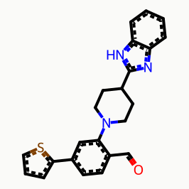 O=Cc1ccc(-c2cccs2)cc1N1CCC(c2nc3ccccc3[nH]2)CC1